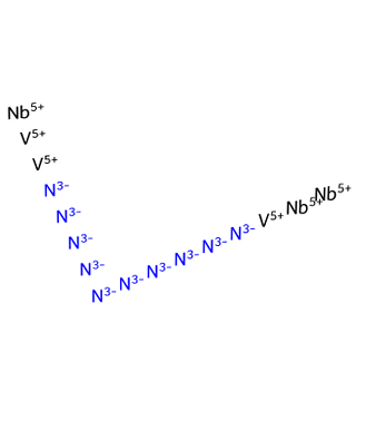 [N-3].[N-3].[N-3].[N-3].[N-3].[N-3].[N-3].[N-3].[N-3].[N-3].[Nb+5].[Nb+5].[Nb+5].[V+5].[V+5].[V+5]